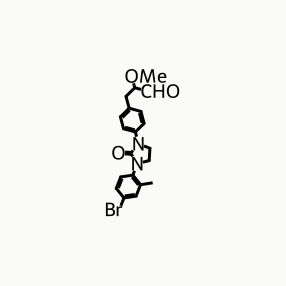 COC(C=O)Cc1ccc(N2CCN(c3ccc(Br)cc3C)C2=O)cc1